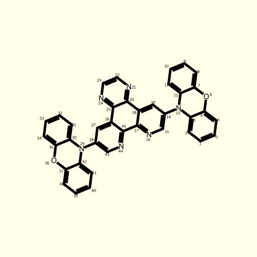 c1ccc2c(c1)Oc1ccccc1N2c1cnc2c(c1)c1nccnc1c1cc(N3c4ccccc4Oc4ccccc43)cnc12